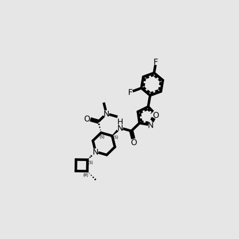 C[C@@H]1CC[C@@H]1N1CC[C@H](NC(=O)c2cc(-c3ccc(F)cc3F)on2)[C@@H](C(=O)N(C)C)C1